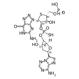 Nc1nc2c(nnn2[C@@H]2S[C@H](CO[PH](=O)O)[C@@H](O)[C@H]2OP(=O)(S)OC2[C@H]3O[C@@H](c4cnc5c(N)ncnn45)C[C@@]23O)c(=O)[nH]1